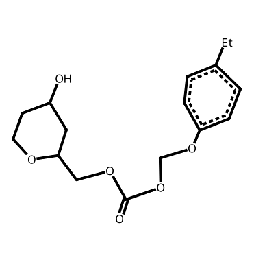 CCc1ccc(OCOC(=O)OCC2CC(O)CCO2)cc1